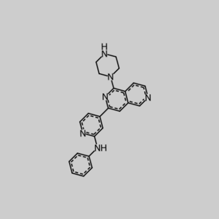 c1ccc(Nc2cc(-c3cc4cnccc4c(N4CCNCC4)n3)ccn2)cc1